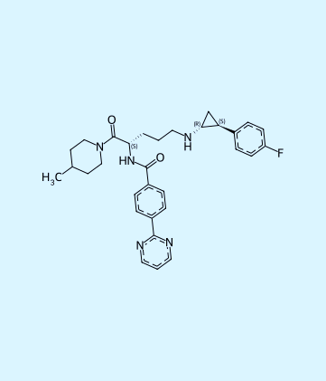 CC1CCN(C(=O)[C@H](CCCN[C@@H]2C[C@H]2c2ccc(F)cc2)NC(=O)c2ccc(-c3ncccn3)cc2)CC1